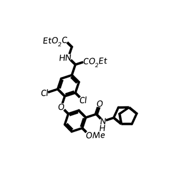 CCOC(=O)CNC(C(=O)OCC)c1cc(Cl)c(Oc2ccc(OC)c(C(=O)NC3CC4CCC3C4)c2)c(Cl)c1